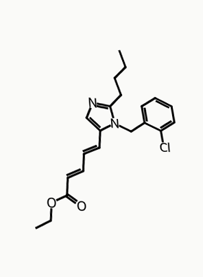 CCCCc1ncc(C=CC=CC(=O)OCC)n1Cc1ccccc1Cl